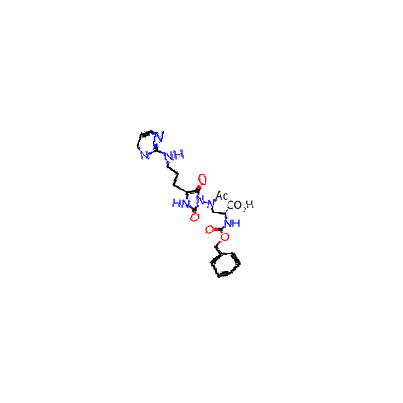 CC(=O)N(C[C@H](NC(=O)OCc1ccccc1)C(=O)O)N1C(=O)N[C@@H](CCCNc2ncccn2)C1=O